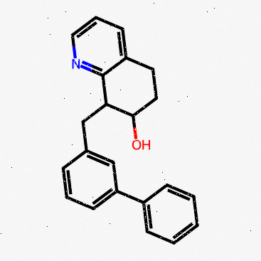 OC1CCc2cccnc2C1Cc1cccc(-c2ccccc2)c1